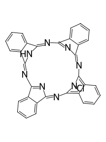 Cln1c2nc3nc(nc4[nH]c(nc5nc(nc1c1ccccc12)-c1ccccc1-5)c1ccccc41)-c1ccccc1-3